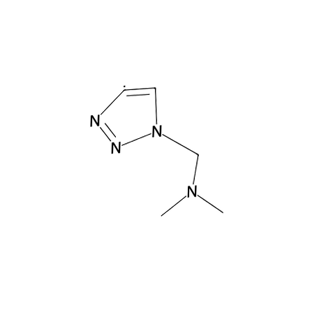 CN(C)Cn1c[c]nn1